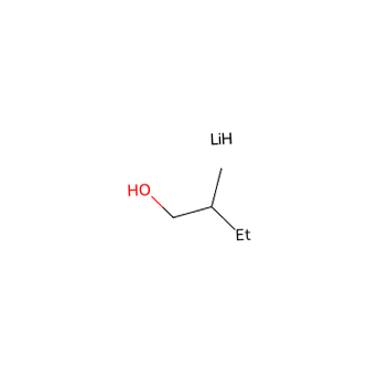 CCC(C)CO.[LiH]